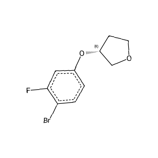 Fc1cc(O[C@@H]2CCOC2)ccc1Br